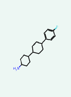 NC1CCC(C2CCC(c3ccc(F)cc3)CC2)CC1